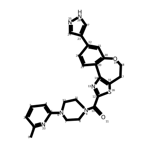 Cc1cccc(N2CCN(C(=O)c3nc4c(s3)CCOc3cc(-c5cn[nH]c5)ccc3-4)CC2)n1